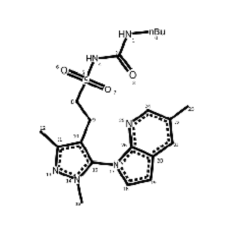 CCCCNC(=O)NS(=O)(=O)CCc1c(C)nn(C)c1-n1ccc2cc(C)cnc21